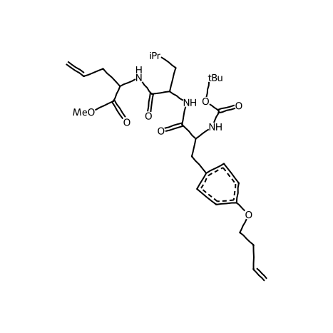 C=CCCOc1ccc(CC(NC(=O)OC(C)(C)C)C(=O)NC(CC(C)C)C(=O)NC(CC=C)C(=O)OC)cc1